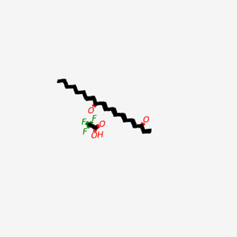 C=CC(=O)C=CC=CC=CC=CC(=O)C=CCCCCCC.O=C(O)C(F)(F)F